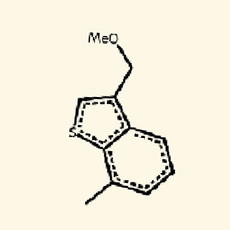 COCc1csc2c(C)cccc12